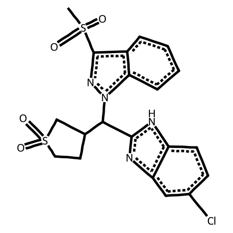 CS(=O)(=O)c1nn(C(c2nc3cc(Cl)ccc3[nH]2)C2CCS(=O)(=O)C2)c2ccccc12